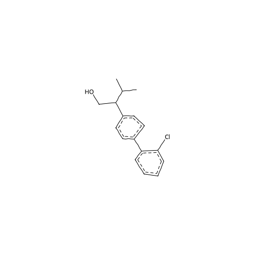 CC(C)C(CO)c1ccc(-c2ccccc2Cl)cc1